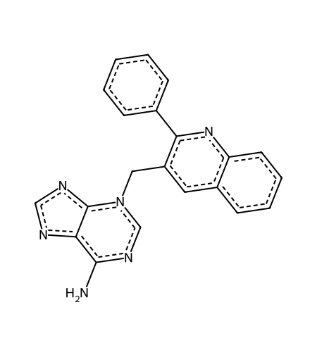 Nc1ncn(Cc2cc3ccccc3nc2-c2ccccc2)c2ncnc1-2